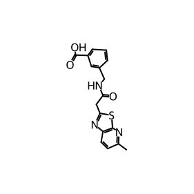 Cc1ccc2nc(CC(=O)NCc3cccc(C(=O)O)c3)sc2n1